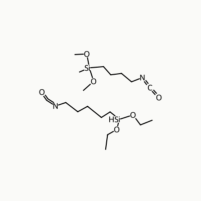 CCO[SiH](CCCCCN=C=O)OCC.CO[Si](C)(CCCCN=C=O)OC